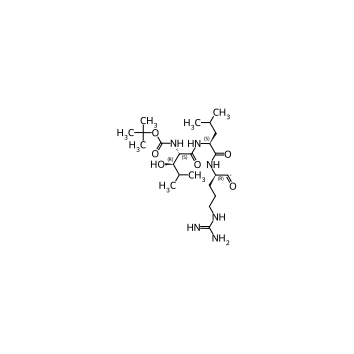 CC(C)C[C@H](NC(=O)[C@@H](NC(=O)OC(C)(C)C)[C@H](O)C(C)C)C(=O)N[C@@H]([C]=O)CCCNC(=N)N